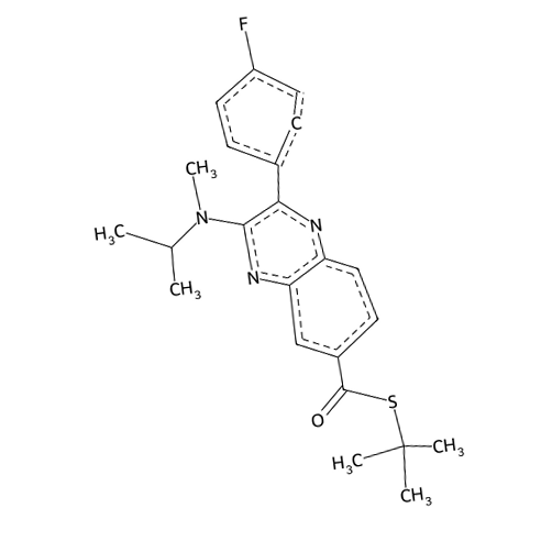 CC(C)N(C)c1nc2cc(C(=O)SC(C)(C)C)ccc2nc1-c1ccc(F)cc1